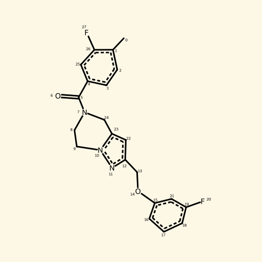 Cc1ccc(C(=O)N2CCn3nc(COc4cccc(F)c4)cc3C2)cc1F